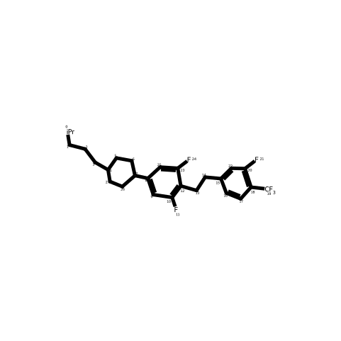 CC(C)CCCC1CCC(c2cc(F)c(CCc3ccc(C(F)(F)F)c(F)c3)c(F)c2)CC1